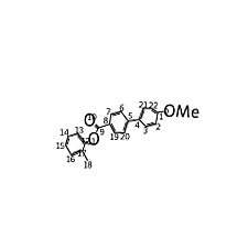 COc1ccc(-c2ccc(C(=O)Oc3ccccc3C)cc2)cc1